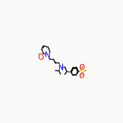 CC(CN(CCCCN1CCCCC1=O)C(C)C)c1ccc(S(C)(=O)=O)cc1